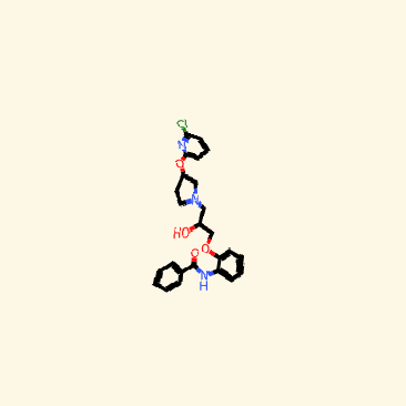 O=C(Nc1ccccc1OCC(O)CN1CCC(Oc2cccc(Cl)n2)C1)c1ccccc1